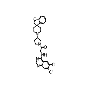 O=C(CNc1ncnc2cc(Cl)c(Cl)cc12)N1CCC(N2CCC3(CC2)COc2ccccc23)C1